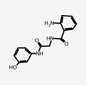 Nc1ccccc1C(=O)NCC(=O)Nc1cccc(O)c1